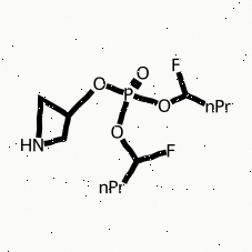 CCCC(F)OP(=O)(OC(F)CCC)OC1CNC1